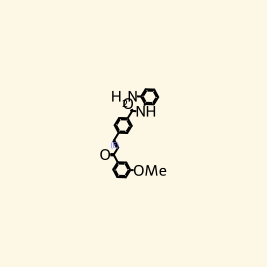 COc1cccc(C(=O)/C=C/c2ccc(C(=O)Nc3ccccc3N)cc2)c1